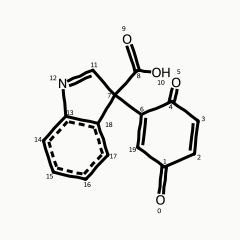 O=C1C=CC(=O)C(C2(C(=O)O)C=Nc3ccccc32)=C1